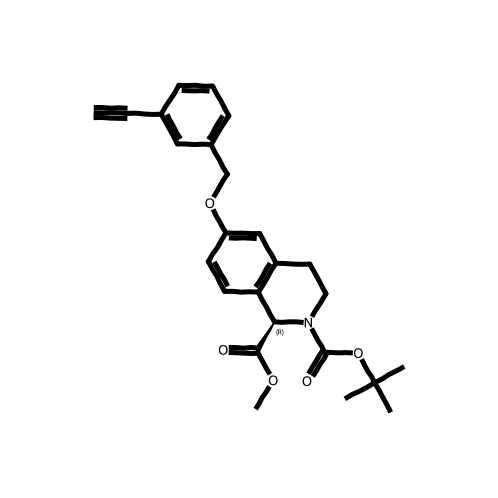 C#Cc1cccc(COc2ccc3c(c2)CCN(C(=O)OC(C)(C)C)[C@H]3C(=O)OC)c1